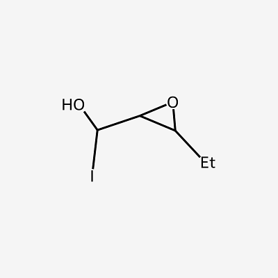 CCC1OC1C(O)I